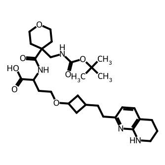 CC(C)(C)OC(=O)NCC1(C(=O)NC(CCOC2CC(CCc3ccc4c(n3)NCCC4)C2)C(=O)O)CCOCC1